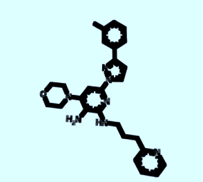 Cc1cccc(-c2ccn(-c3cc(N4CCOCC4)c(N)c(NCCCc4ccccn4)n3)n2)c1